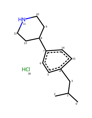 CC(C)Cc1ccc(C2CCNCC2)cc1.Cl